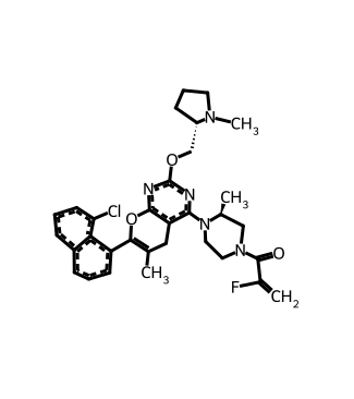 C=C(F)C(=O)N1CCN(c2nc(OC[C@@H]3CCCN3C)nc3c2CC(C)=C(c2cccc4cccc(Cl)c24)O3)[C@@H](C)C1